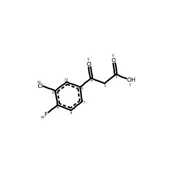 O=C(O)CC(=O)c1ccc(F)c(Cl)c1